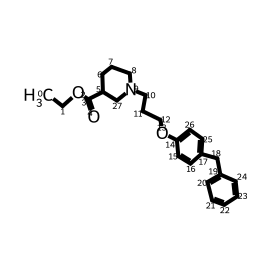 CCOC(=O)C1CCCN(CCCOc2ccc(Cc3ccccc3)cc2)C1